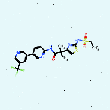 CCS(=O)(=O)Nc1nc(C(C)(C)C(=O)Nc2ccc(-c3cncc(C(F)(F)F)c3)cn2)cs1